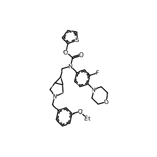 CCOc1cccc(CN2CC3C(C2)C3CN(C(=O)Oc2cccs2)c2ccc(N3CCOCC3)c(F)c2)c1